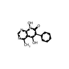 Cc1ncnc2c1c(O)c(-c1ccccc1)c(=O)n2O